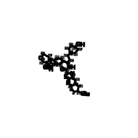 CC(C)(C)C1CCc2nc3sc(C(=O)N[C@H](CCN4CCC(O)CC4)c4ccc(N5CCOCS5(O)O)nc4)nc3cc2C1